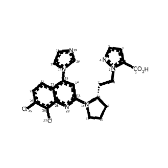 O=C(O)c1ccnn1CC[C@@H]1CCCN1c1cc(-n2ccnc2)c2ccc(Cl)c(Cl)c2n1